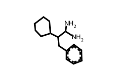 NC(N)C(Cc1ccccc1)C1CCCCC1